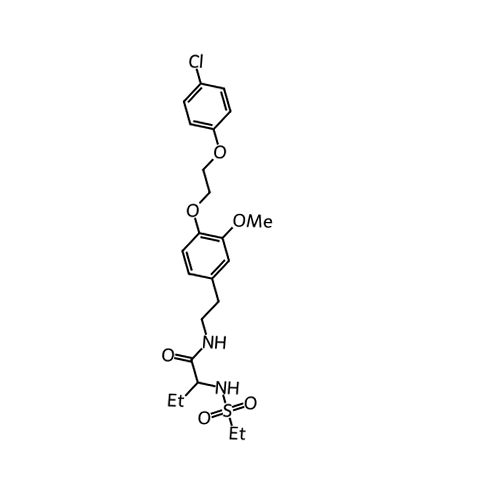 CCC(NS(=O)(=O)CC)C(=O)NCCc1ccc(OCCOc2ccc(Cl)cc2)c(OC)c1